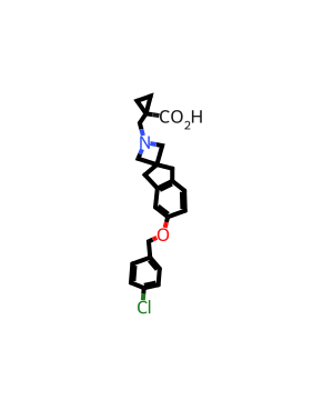 O=C(O)C1(CN2CC3(Cc4ccc(OCc5ccc(Cl)cc5)cc4C3)C2)CC1